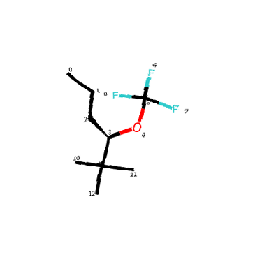 CCC[C@@H](OC(F)(F)F)C(C)(C)C